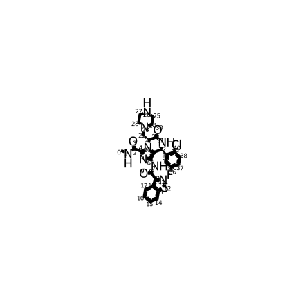 CNC(=O)c1nc(NC(=O)c2nsc3ccccc23)c2n1[C@@H](CN1CCNCC1)C(=O)N[C@H]2c1cc(F)ccc1Cl